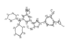 COc1ccc(-c2cc(SC)n(-c3nc(N)nc(N(C4CCCCC4)C4CCCCC4)n3)n2)cc1OC